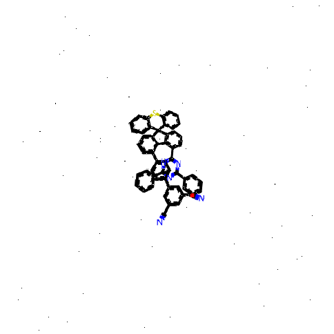 N#Cc1cc(C#N)cc(-c2ccc(-c3cccc4c3-c3c(-c5nc(-c6ccccc6)nc(-c6ccccc6)n5)cccc3C43c4ccccc4Sc4ccccc43)cc2)c1